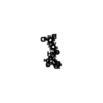 COC(=O)[C@@H]1CC2(CN1C(=O)CNC(=O)c1ccc(-c3cc(Cl)cc(Cl)c3)cc1)OCCO2